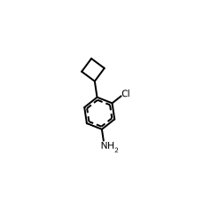 Nc1ccc(C2CCC2)c(Cl)c1